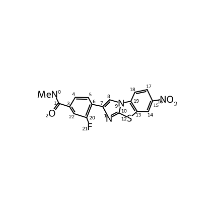 CNC(=O)c1ccc(-c2cn3c(n2)sc2cc([N+](=O)[O-])ccc23)c(F)c1